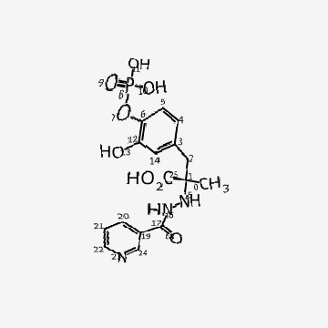 C[C@@](Cc1ccc(OP(=O)(O)O)c(O)c1)(NNC(=O)c1cccnc1)C(=O)O